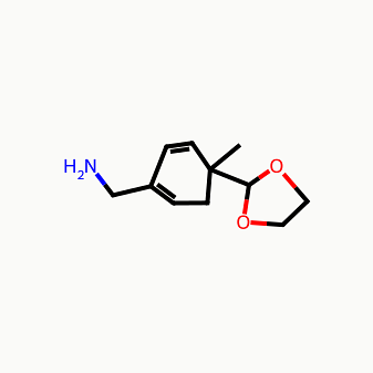 CC1(C2OCCO2)C=CC(CN)=CC1